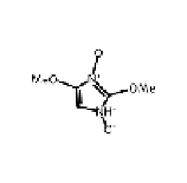 COC1=C[NH+]([O-])C(OC)=[N+]1[O-]